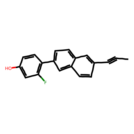 CC#Cc1ccc2cc(-c3ccc(O)cc3F)ccc2c1